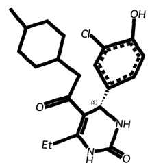 CCC1=C(C(=O)CC2CCC(C)CC2)[C@H](c2ccc(O)c(Cl)c2)NC(=O)N1